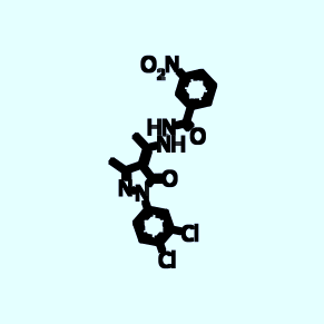 CC1=NN(c2ccc(Cl)c(Cl)c2)C(=O)/C1=C(/C)NNC(=O)c1cccc([N+](=O)[O-])c1